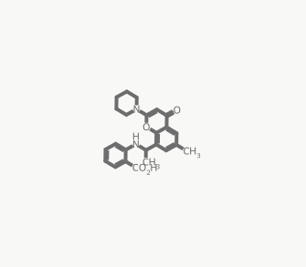 Cc1cc(C(C)Nc2ccccc2C(=O)O)c2oc(N3CCCCC3)cc(=O)c2c1